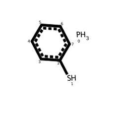 P.Sc1ccccc1